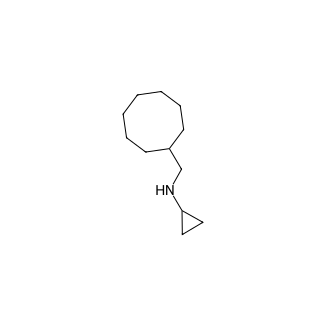 C1CCCC(CNC2CC2)CCC1